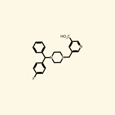 O=C(O)c1cncc(CN2CCN(C(c3ccccc3)c3ccc(F)cc3)CC2)c1